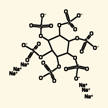 O=S(=O)([O-])OC1C(OS(=O)(=O)[O-])C(OS(=O)(=O)[O-])C(OS(=O)(=O)[O-])C(OS(=O)(=O)[O-])C1OS(=O)(=O)[O-].[Na+].[Na+].[Na+].[Na+].[Na+].[Na+]